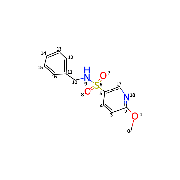 COc1ccc(S(=O)(=O)NCc2ccccc2)cn1